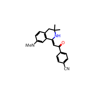 CNc1ccc2c(c1)C(=CC(=O)c1ccc(C#N)cc1)NC(C)(C)C2